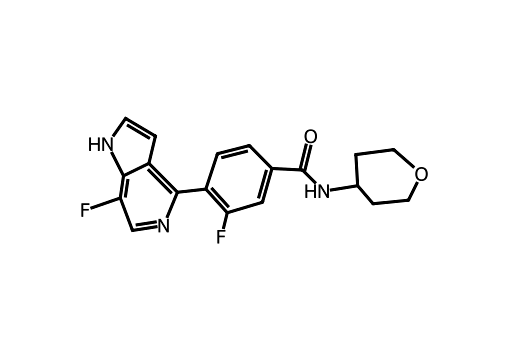 O=C(NC1CCOCC1)c1ccc(-c2ncc(F)c3[nH]ccc23)c(F)c1